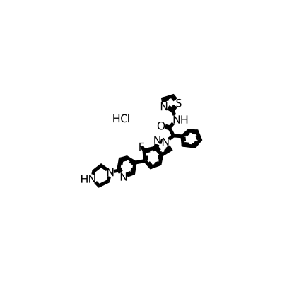 Cl.O=C(Nc1nccs1)C(c1ccccc1)n1cc2ccc(-c3ccc(N4CCNCC4)nc3)c(F)c2n1